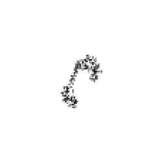 CN1CCC(Nc2cccc(C(=O)NCc3ccc(OCCCCCOCCCOCC(=O)Nc4cccc5c4CN(C4CCC(=O)NC4=O)C5=O)cc3)c2)(C(=N)NC(=N)c2ccncc2)CC1